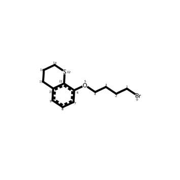 BrCCCCOc1cccc2c1SCCC2